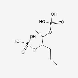 CCCC(OP(=O)(O)O)C(C)OP(=O)(O)O